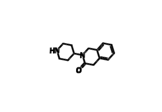 O=C1Cc2ccccc2CN1C1CCNCC1